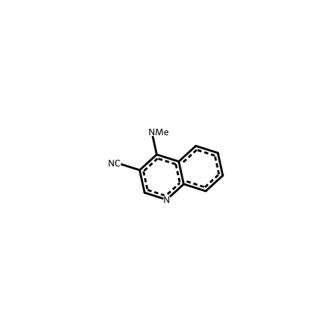 CNc1c(C#N)cnc2ccccc12